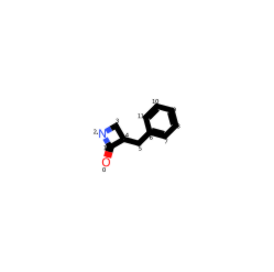 O=C1[N]CC1Cc1ccccc1